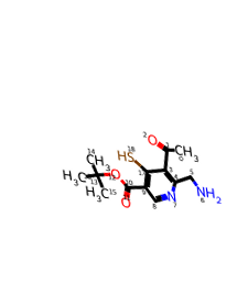 CC(=O)c1c(CN)ncc(C(=O)OC(C)(C)C)c1S